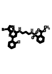 COC(=O)c1ccccc1S(=O)(=O)NCCCNc1cc(-c2ccccc2Cl)nc2c(Br)cnn12